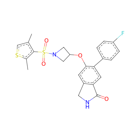 Cc1csc(C)c1S(=O)(=O)N1CC(Oc2cc3c(cc2-c2ccc(F)cc2)C(=O)NC3)C1